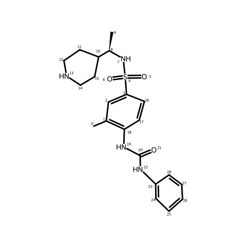 Cc1cc(S(=O)(=O)N[C@H](C)C2CCNCC2)ccc1NC(=O)Nc1ccccc1